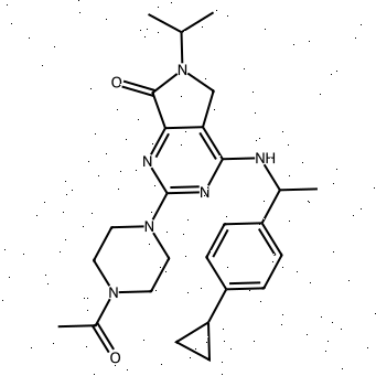 CC(=O)N1CCN(c2nc(NC(C)c3ccc(C4CC4)cc3)c3c(n2)C(=O)N(C(C)C)C3)CC1